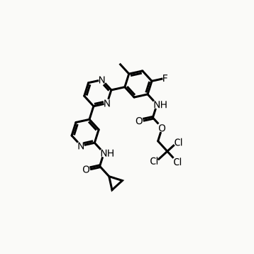 Cc1cc(F)c(NC(=O)OCC(Cl)(Cl)Cl)cc1-c1nccc(-c2ccnc(NC(=O)C3CC3)c2)n1